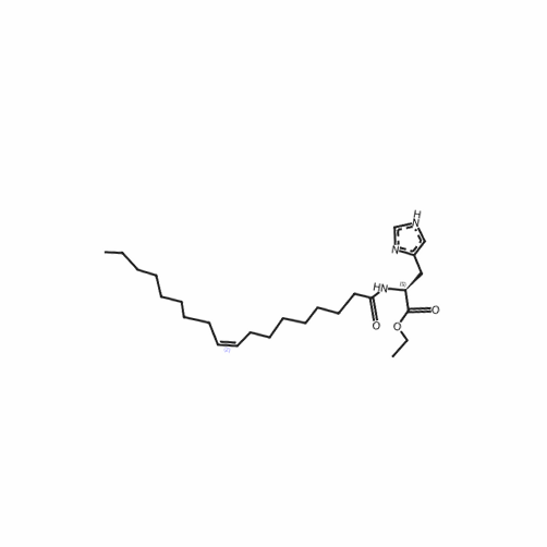 CCCCCCCC/C=C\CCCCCCCC(=O)N[C@@H](Cc1c[nH]cn1)C(=O)OCC